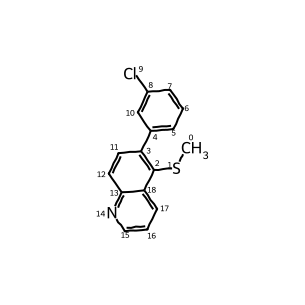 CSc1c(-c2cccc(Cl)c2)ccc2ncccc12